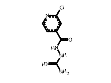 N=C(N)NNC(=O)c1ccnc(Cl)c1